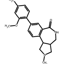 COc1cc(C)ccc1-c1ccc2c(c1)C(=O)NCC1CN(C)CC21